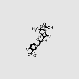 CC1(C)S[C@@H]2C(NC(=O)Cn3ccc(=O)c([N+](=O)[O-])c3)C(=O)N2[C@H]1C(=O)O